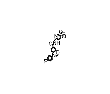 CS(=O)(=O)c1ccc(CNC(=O)c2ccc3c(c2)OCCN3c2ccc(F)cc2)nc1